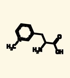 C[n+]1cccc(CC(N)C(=O)O)c1